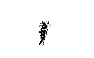 CC(=O)COc1ccc2c(C)c(Cc3ccnc(N)c3F)c(=O)oc2c1